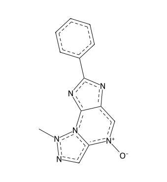 Cn1ncc2n1c1nc(-c3ccccc3)nc-1c[n+]2[O-]